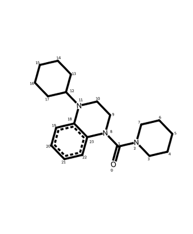 O=C(N1CCCCC1)N1CCN(C2CCCCC2)c2ccccc21